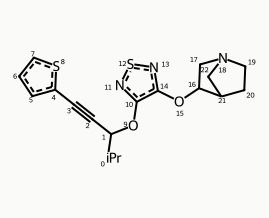 CC(C)C(C#Cc1cccs1)Oc1nsnc1OC1CN2CCC1C2